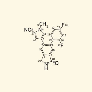 Cn1cc(-c2cc3c(cc2-c2ccc(F)cc2F)C(=O)NC3)cc1C#N